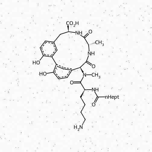 CCCCCCCC(=O)N[C@@H](CCCCN)C(=O)N(C)[C@@H]1C(=O)N[C@@H](C)C(=O)N[C@H](C(=O)O)Cc2ccc(O)c(c2)-c2cc1ccc2O